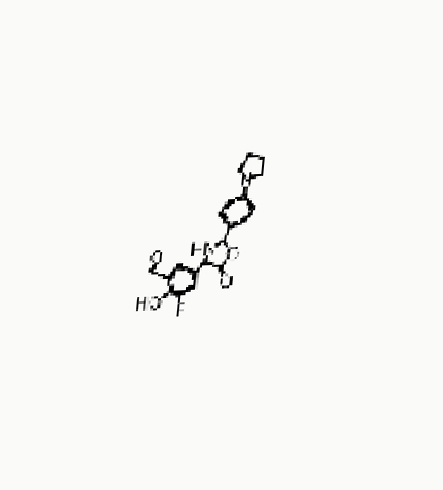 O=Cc1cc(C2NC(c3ccc(N4CCCC4)cc3)OC2=O)cc(F)c1O